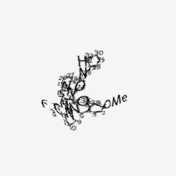 COc1ccc(Cn2c(N3CCC[C@@H]3C(F)(F)F)nc3sc(N4CCC[C@@H]4C(=O)NCc4ccccc4)nc3c2=O)cc1